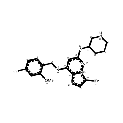 COc1cc(F)ccc1CNc1cc(SC2CCCNC2)nn2c(C(C)C)cnc12